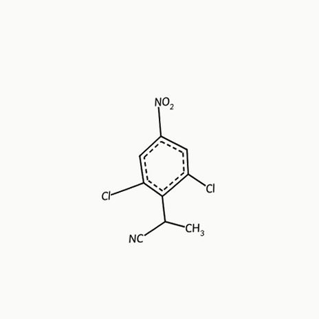 CC(C#N)c1c(Cl)cc([N+](=O)[O-])cc1Cl